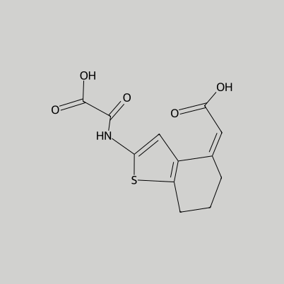 O=C(O)/C=C1/CCCc2sc(NC(=O)C(=O)O)cc21